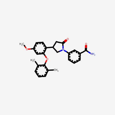 COc1ccc(C2CC(=O)N(c3cccc(C(N)=O)c3)C2)c(Oc2c(C)cccc2C)c1